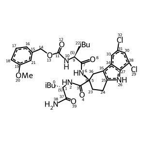 CCC(C)[C@H](NC(=O)[C@@]1(NC(=O)[C@@H](NC(=O)OCc2cccc(OC)c2)C(C)CC)CCc2[nH]c3c(Cl)cc(Cl)cc3c2C1)C(N)=O